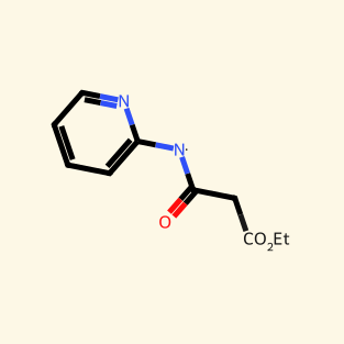 CCOC(=O)CC(=O)[N]c1ccccn1